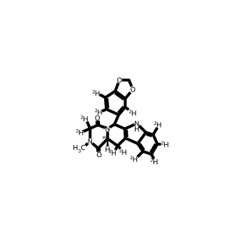 [2H]c1c([2H])c(C2c3[nH]c4c([2H])c([2H])c([2H])c([2H])c4c3C([2H])([2H])[C@@H]3C(=O)N(C)C([2H])([2H])C(=O)N23)c([2H])c2c1OCO2